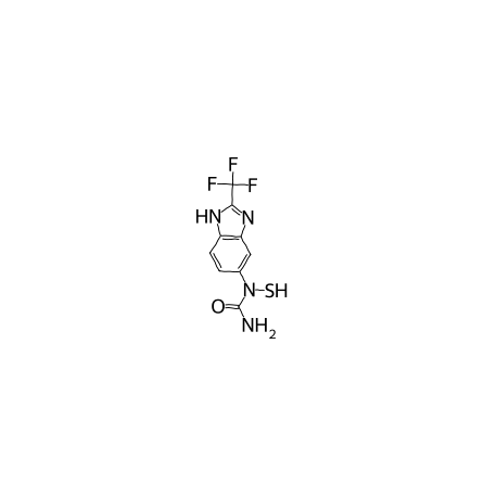 NC(=O)N(S)c1ccc2[nH]c(C(F)(F)F)nc2c1